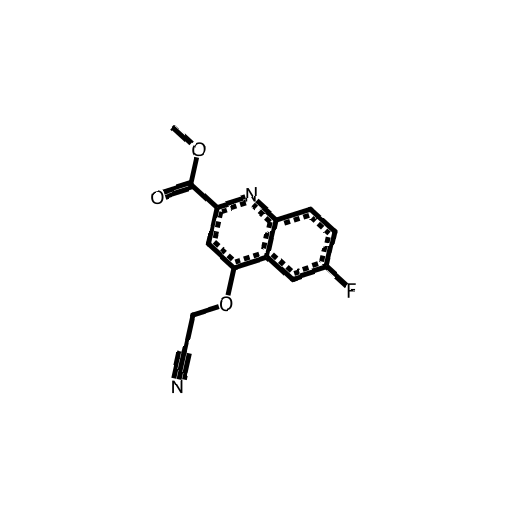 COC(=O)c1cc(OCC#N)c2cc(F)ccc2n1